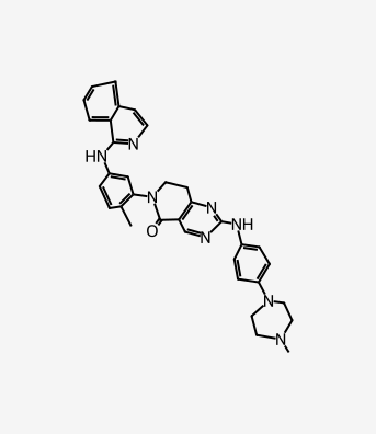 Cc1ccc(Nc2nccc3ccccc23)cc1N1CCc2nc(Nc3ccc(N4CCN(C)CC4)cc3)ncc2C1=O